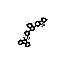 C[Si]1(C)c2ccccc2-c2ccc(-c3ccc(-c4ccc5c(c4)Oc4c(c6ccccc6c6ccccc46)O5)c4ccccc34)cc21